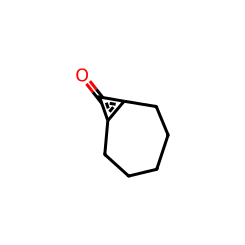 O=c1c2c1CCCCC2